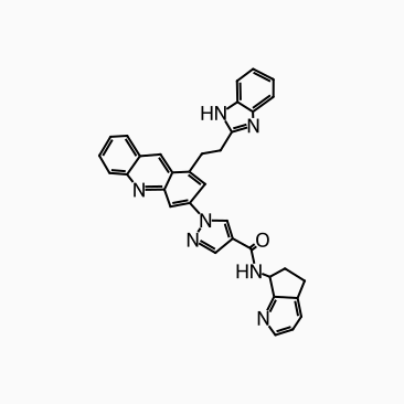 O=C(NC1CCc2cccnc21)c1cnn(-c2cc(CCc3nc4ccccc4[nH]3)c3cc4ccccc4nc3c2)c1